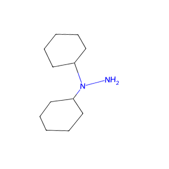 NN(C1CCCCC1)C1CCCCC1